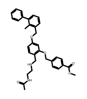 COC(=O)c1ccc(COc2cc(OCc3cccc(-c4ccccc4)c3C)ccc2CNCCNC(C)=O)cc1